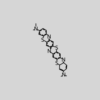 CN(C)C1=CC2Sc3cc4c(cc3N=C2C=C1)Sc1cc2c(cc1=N4)Sc1cc(N(C)C)ccc1N=2